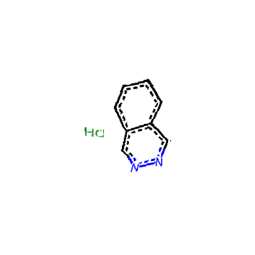 Cl.[c]1nncc2ccccc12